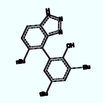 CCCCc1ccc2[nH]nnc2c1-c1cc(C(C)(C)C)cc(C(C)CC)c1O